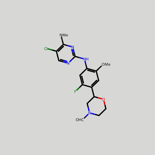 CNc1nc(Nc2cc(F)c(C3CN(C=O)CCO3)cc2OC)ncc1Cl